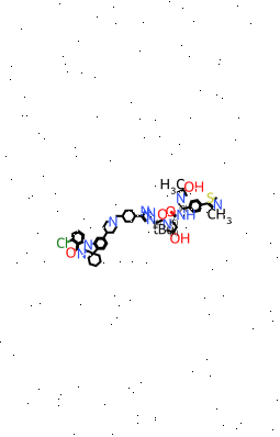 Cc1ncsc1-c1ccc([C@H](CN2CC(C)(O)C2)NC(=O)[C@@H]2C[C@@H](O)CN2C(=O)[C@@H](n2cc(C3CCC(CN4CCC(c5ccc6c(c5)-n5c(nc(=O)c7c(Cl)cccc75)C65CCCCC5)CC4)CC3)nn2)C(C)(C)C)cc1